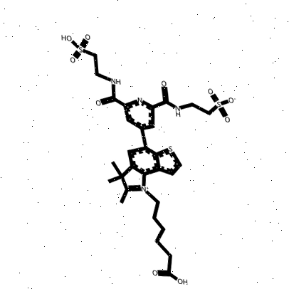 CC1=[N+](CCCCCC(=O)O)c2c(cc(-c3cc(C(=O)NCCS(=O)(=O)[O-])nc(C(=O)NCCS(=O)(=O)O)c3)c3sccc23)C1(C)C